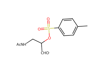 CC(=O)NCC([C]=O)OS(=O)(=O)c1ccc(C)cc1